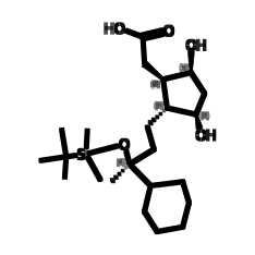 CC(C)(C)[Si](C)(C)O[C@@](C)(CC[C@@H]1[C@@H](CC(=O)O)[C@@H](O)C[C@H]1O)C1CCCCC1